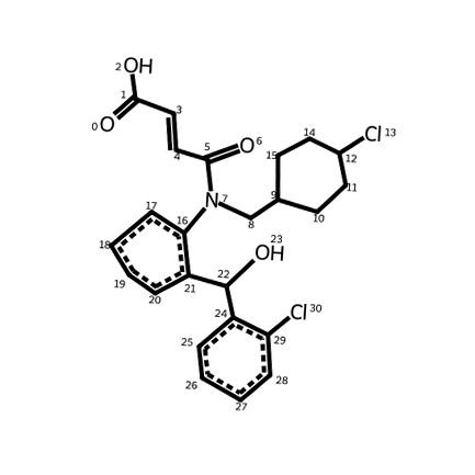 O=C(O)C=CC(=O)N(CC1CCC(Cl)CC1)c1ccccc1C(O)c1ccccc1Cl